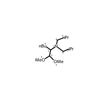 CCCCC(C(OC)OC)N(CC(C)C)CC(C)C